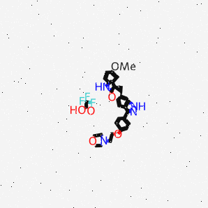 COc1ccc2c(c1)[C@]1(C[C@H]1c1ccc3c(-c4ccc(OCCN5CCOCC5)cc4)n[nH]c3c1)C(=O)N2.O=C(O)C(F)(F)F